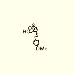 COc1ccc(CSC2=C(CO)S(=O)(=O)C=C2)cc1